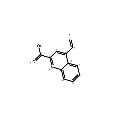 O=Cc1cc(C(=O)O)nc2ccccc12